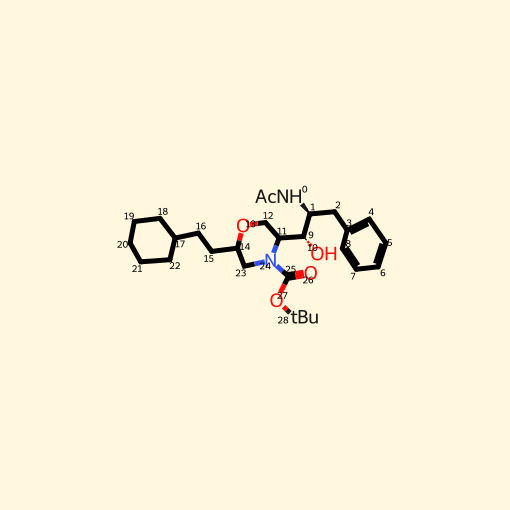 CC(=O)N[C@@H](Cc1ccccc1)[C@H](O)C1COC(CCC2CCCCC2)CN1C(=O)OC(C)(C)C